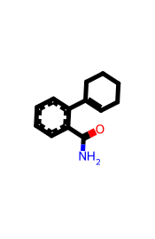 NC(=O)c1ccccc1C1=CCCCC1